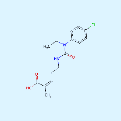 CCN(C(=O)NCCC=C(C)C(=O)O)c1ccc(Cl)cc1